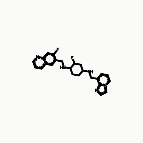 Fc1cc2ncccc2cc1CNC1CCC(NCc2cccn3ccnc23)CC1F